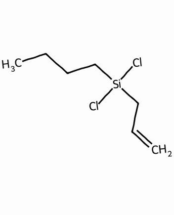 C=CC[Si](Cl)(Cl)CCCC